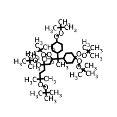 CC(C)(C)OOC1CCC(C(C)(C2CCC(OOC(C)(C)C)(OOC(C)(C)C)CC2)C(CC(C)(CCC(C)(C)OOC(C)(C)C)OOC(C)(C)C)OOC(C)(C)C)CC1